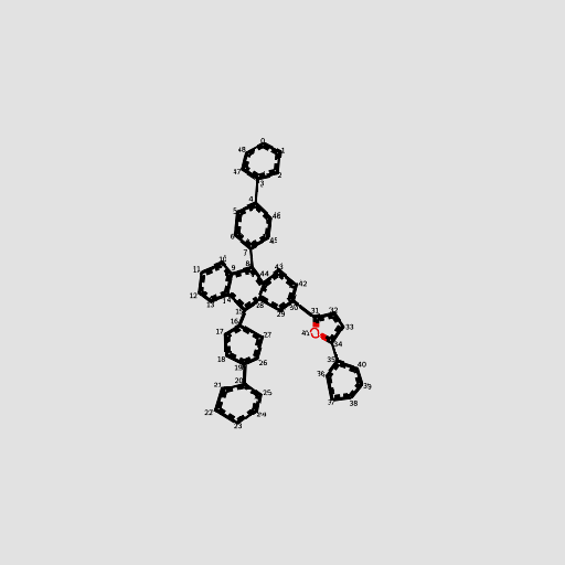 c1ccc(-c2ccc(-c3c4ccccc4c(-c4ccc(-c5ccccc5)cc4)c4cc(-c5ccc(-c6ccccc6)o5)ccc34)cc2)cc1